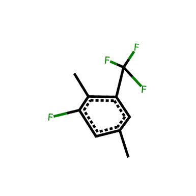 Cc1cc(F)c(C)c(C(F)(F)F)c1